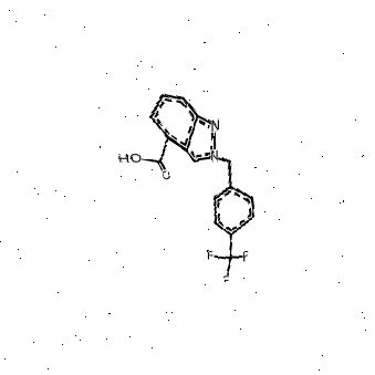 O=C(O)c1cccc2nn(Cc3ccc(C(F)(F)F)cc3)cc12